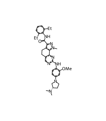 CCc1cccc(CC)c1NC(=O)c1nn(C)c2c1CCc1cnc(Nc3ccc(N4CC[C@H](N(C)C)C4)cc3OC)nc1-2